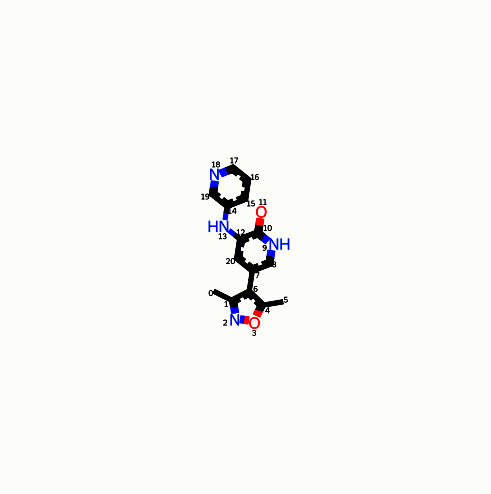 Cc1noc(C)c1-c1c[nH]c(=O)c(Nc2cccnc2)c1